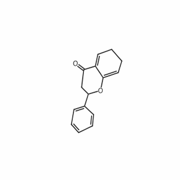 O=C1CC(c2ccccc2)OC2=CCCC=C12